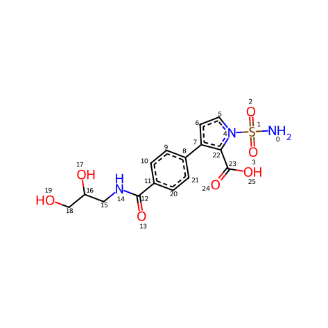 NS(=O)(=O)n1ccc(-c2ccc(C(=O)NCC(O)CO)cc2)c1C(=O)O